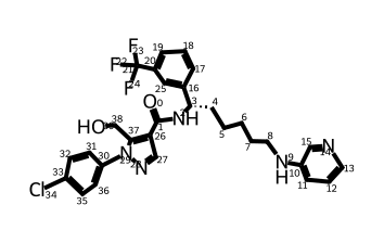 O=C(N[C@@H](CCCCCNc1cccnc1)c1cccc(C(F)(F)F)c1)c1cnn(-c2ccc(Cl)cc2)c1CO